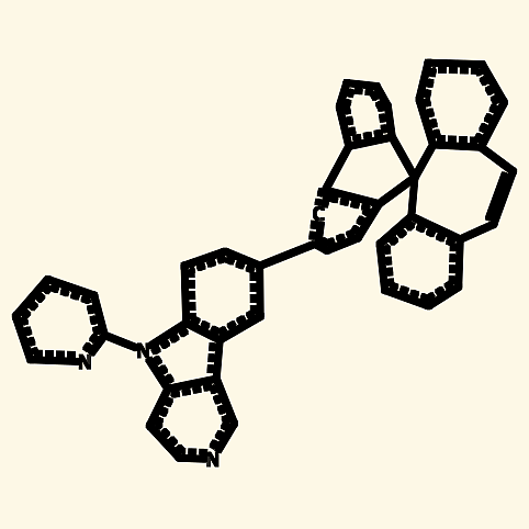 C1=Cc2ccccc2C2(c3ccccc31)c1ccccc1-c1cc(-c3ccc4c(c3)c3cnccc3n4-c3ccccn3)ccc12